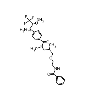 CC(COCCNC(=O)c1ccccc1)CN(C)C(=O)c1ccc([C@H](N)C(ON)C(F)(F)F)cc1